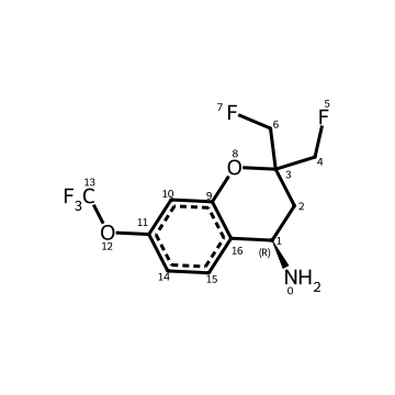 N[C@@H]1CC(CF)(CF)Oc2cc(OC(F)(F)F)ccc21